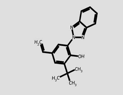 C=Cc1cc(-n2nc3ccccc3n2)c(O)c(C(C)(C)C)c1